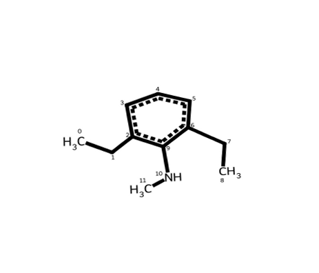 CCc1cccc(CC)c1NC